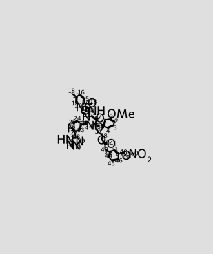 COc1ccccc1Oc1c(NS(=O)(=O)c2ccc(C)cn2)nc(-c2ccnc(-c3nnn[nH]3)c2)nc1OCCOC(=O)Cc1cccc(CO[N+](=O)[O-])c1